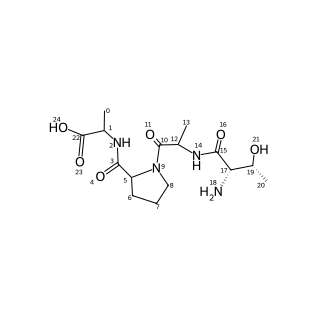 CC(NC(=O)C1CCCN1C(=O)C(C)NC(=O)[C@@H](N)[C@@H](C)O)C(=O)O